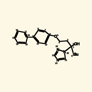 CC(C)(C)C(O)(CCOc1ccc(-c2ccccc2)cc1)n1cncn1